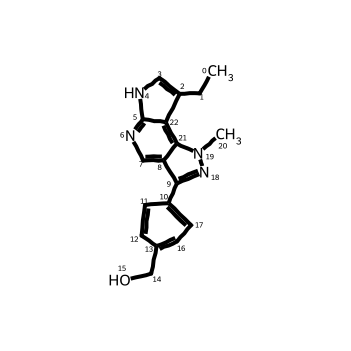 CCc1c[nH]c2ncc3c(-c4ccc(CO)cc4)nn(C)c3c12